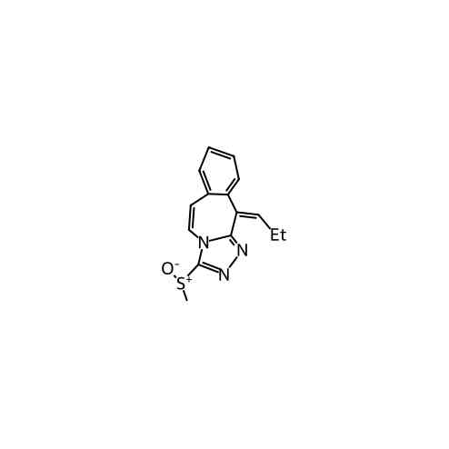 CCC=C1c2ccccc2C=Cn2c1nnc2[S+](C)[O-]